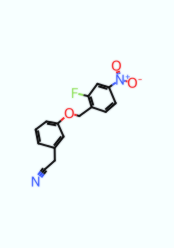 N#CCc1cccc(OCc2ccc([N+](=O)[O-])cc2F)c1